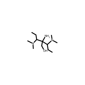 CCC(N(C)C)C(N)(CO)C(CC)N(C)C